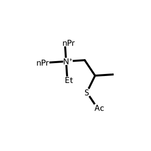 CCC[N+](CC)(CCC)CC(C)SC(C)=O